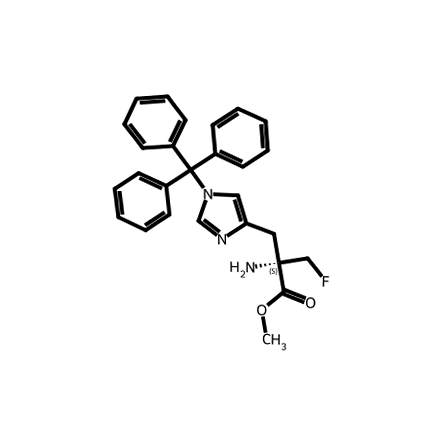 COC(=O)[C@](N)(CF)Cc1cn(C(c2ccccc2)(c2ccccc2)c2ccccc2)cn1